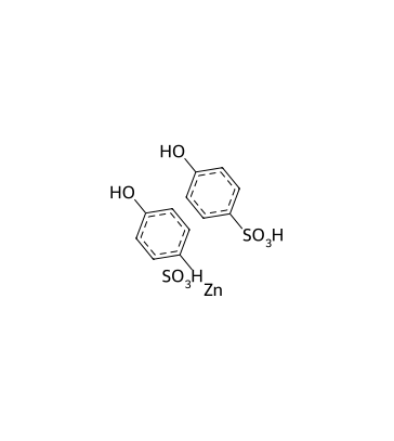 O=S(=O)(O)c1ccc(O)cc1.O=S(=O)(O)c1ccc(O)cc1.[Zn]